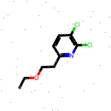 CCOCCc1ccc(Cl)c(Cl)n1